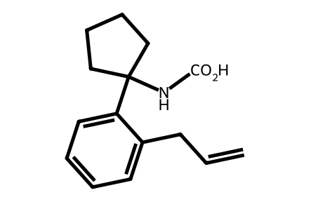 C=CCc1ccccc1C1(NC(=O)O)CCCC1